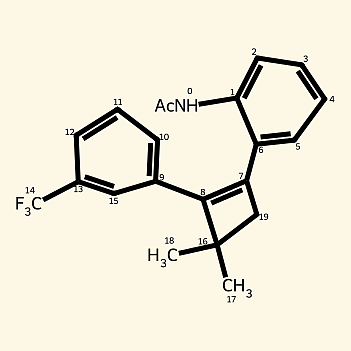 CC(=O)Nc1ccccc1C1=C(c2cccc(C(F)(F)F)c2)C(C)(C)C1